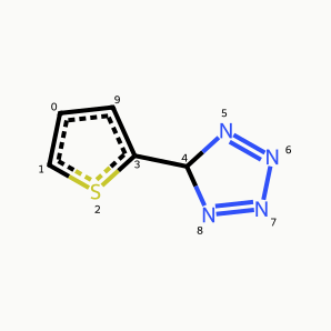 c1csc(C2N=NN=N2)c1